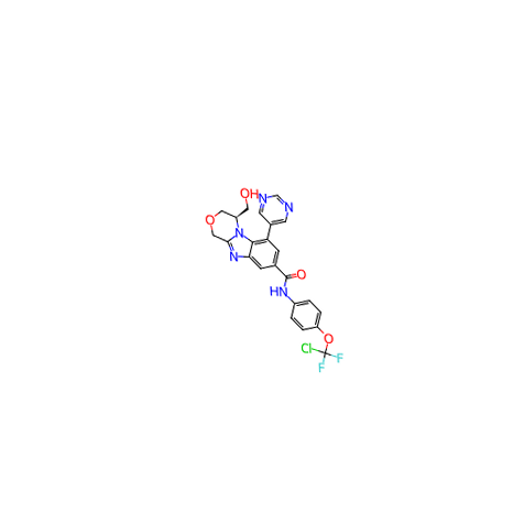 O=C(Nc1ccc(OC(F)(F)Cl)cc1)c1cc(-c2cncnc2)c2c(c1)nc1n2[C@H](CO)COC1